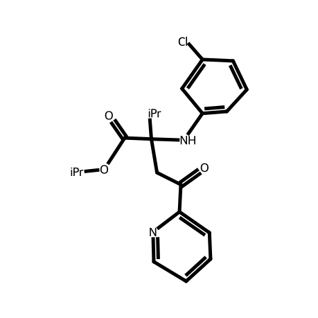 CC(C)OC(=O)C(CC(=O)c1ccccn1)(Nc1cccc(Cl)c1)C(C)C